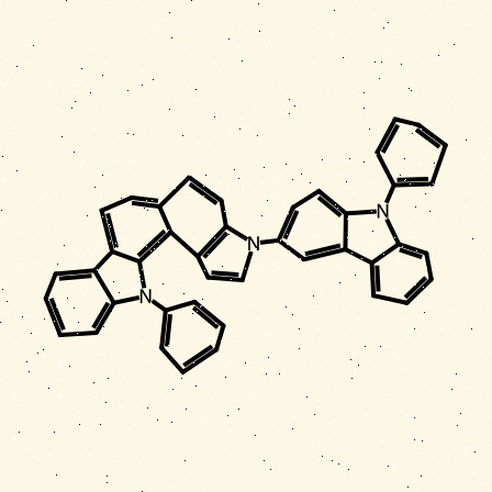 c1ccc(-n2c3ccccc3c3cc(-n4ccc5c6c(ccc7c8ccccc8n(-c8ccccc8)c76)ccc54)ccc32)cc1